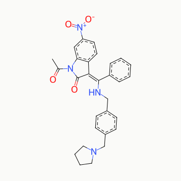 CC(=O)N1C(=O)/C(=C(\NCc2ccc(CN3CCCC3)cc2)c2ccccc2)c2ccc([N+](=O)[O-])cc21